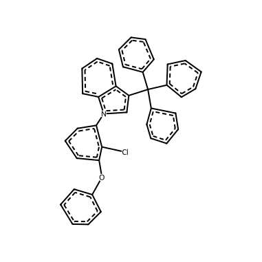 Clc1c(Oc2ccccc2)cccc1-n1cc(C(c2ccccc2)(c2ccccc2)c2ccccc2)c2ccccc21